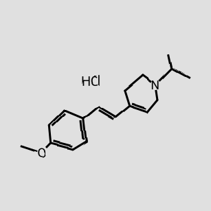 COc1ccc(C=CC2=CCN(C(C)C)CC2)cc1.Cl